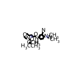 CN(C)/C=N/c1ccc(NC(=O)/C=C/C2COCCN2C(=O)OC(C)(C)C)cc1C#N